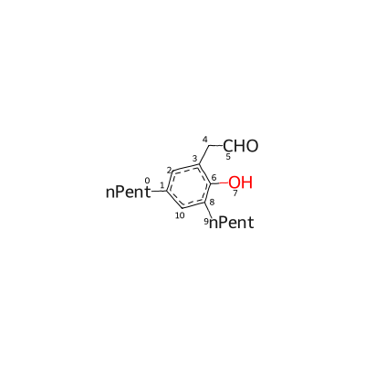 CCCCCc1cc(CC=O)c(O)c(CCCCC)c1